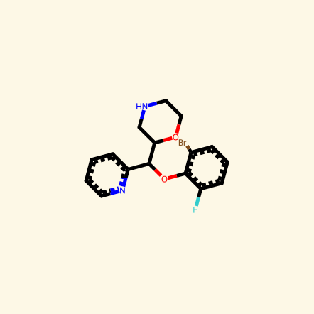 Fc1cccc(Br)c1OC(c1ccccn1)C1CNCCO1